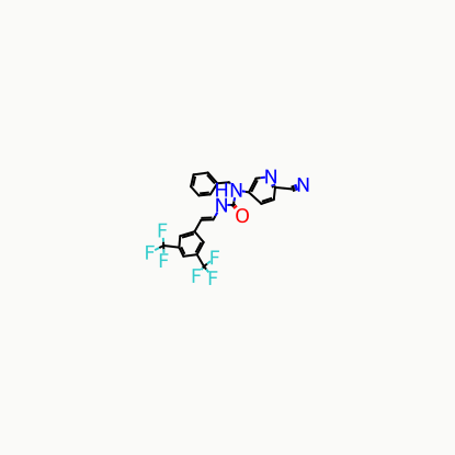 N#Cc1ccc(N(Cc2ccccc2)C(=O)N/C=C/c2cc(C(F)(F)F)cc(C(F)(F)F)c2)cn1